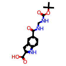 CC(C)(C)OC(=O)NCNC(=O)c1ccc2[nH]c(C(=O)O)cc2c1